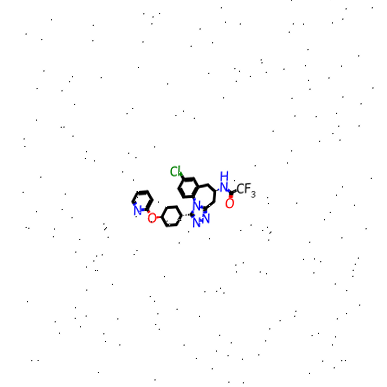 O=C(N[C@H]1Cc2cc(Cl)ccc2-n2c(nnc2[C@H]2CC[C@H](Oc3ccccn3)CC2)C1)C(F)(F)F